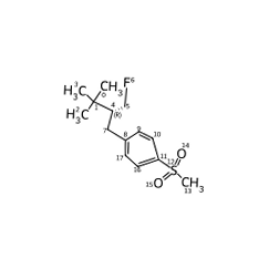 CC(C)(C)[C@H](CF)Cc1ccc(S(C)(=O)=O)cc1